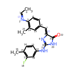 C/C=N\c1ccc(/C=C2\N=C(Nc3ccc(C)c(F)c3)NC2=O)cc1C